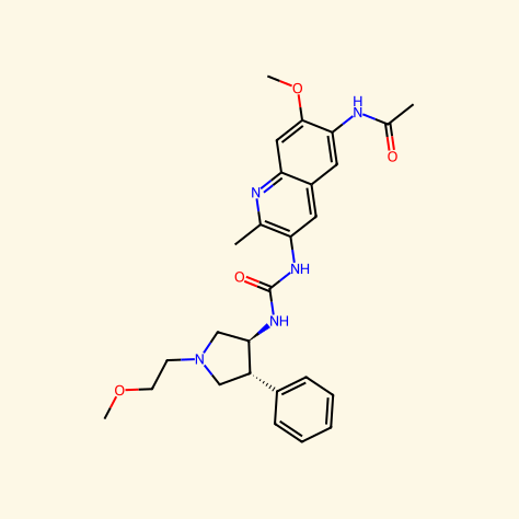 COCCN1C[C@@H](NC(=O)Nc2cc3cc(NC(C)=O)c(OC)cc3nc2C)[C@H](c2ccccc2)C1